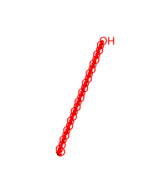 CC=C(C)C(=O)OCCOCCOCCOCCOCCOCCOCCOCCOCCOCCOCCOCCOCCOCCOCCOCCOCCOCCOCCOCCOCCOCCOCCO